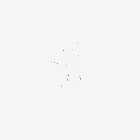 CC1(C)C[C@](C)(c2cc(C(N)=O)ccc2F)N=C(N)CO1